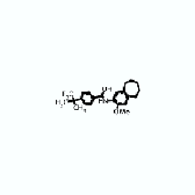 COc1cc2c(cc1NC(O)c1ccc(C(C)(C)C(F)(F)F)cc1)CCCCC2